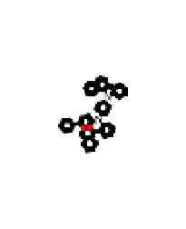 c1ccc(-c2ccc(N(c3ccc(-n4c5ccccc5c5ccc6ccccc6c54)cc3)c3ccccc3-c3cccc4ccccc34)cc2)cc1